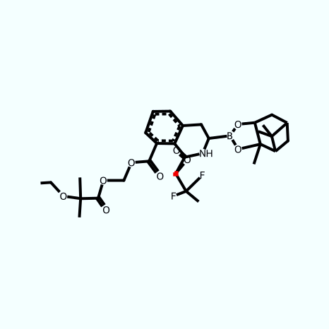 CCOC(C)(C)C(=O)OCOC(=O)c1cccc(CC(NC(=O)CC(C)(F)F)B2OC3CC4CC(C4(C)C)C3(C)O2)c1OC